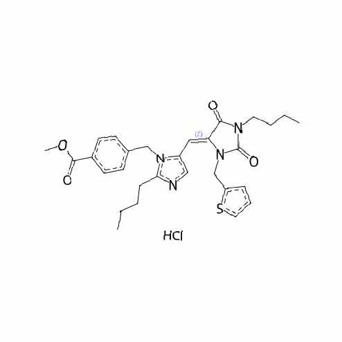 CCCCc1ncc(/C=C2/C(=O)N(CCCC)C(=O)N2Cc2cccs2)n1Cc1ccc(C(=O)OC)cc1.Cl